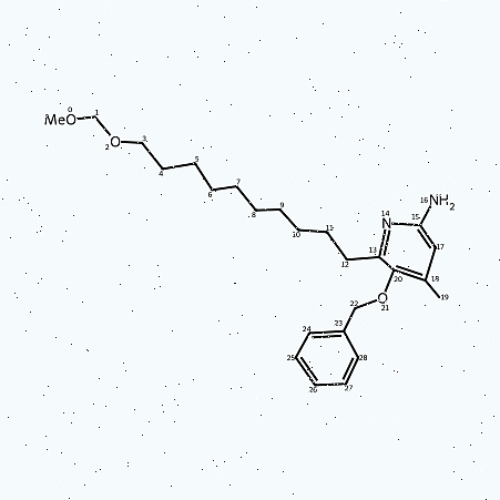 COCOCCCCCCCCCCc1nc(N)cc(C)c1OCc1ccccc1